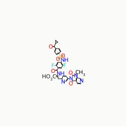 Cn1c(=O)n(-c2ccc(C[C@H](NC(=O)c3cc(F)c(NS(=O)(=O)c4ccc(C(=O)C5CC5)cc4)cc3F)C(=O)O)nc2)c(=O)c2ccncc21